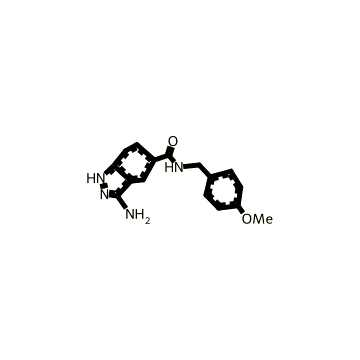 COc1ccc(CNC(=O)c2ccc3[nH]nc(N)c3c2)cc1